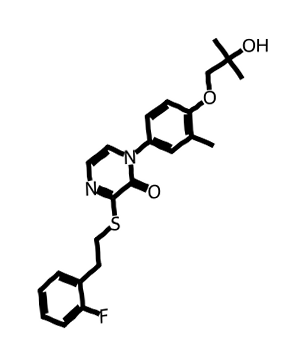 Cc1cc(-n2ccnc(SCCc3ccccc3F)c2=O)ccc1OCC(C)(C)O